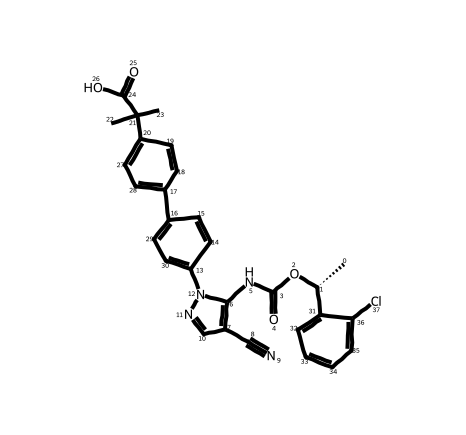 C[C@@H](OC(=O)Nc1c(C#N)cnn1-c1ccc(-c2ccc(C(C)(C)C(=O)O)cc2)cc1)c1ccccc1Cl